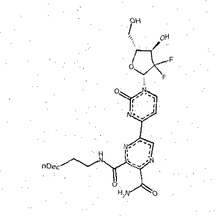 CCCCCCCCCCCCNC(=O)c1nc(-c2ccn([C@@H]3O[C@H](CO)[C@@H](O)C3(F)F)c(=O)n2)cnc1C(N)=O